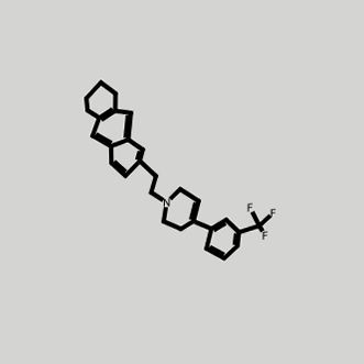 FC(F)(F)c1cccc(C2=CCN(CCc3ccc4cc5c(cc4c3)CCCC5)CC2)c1